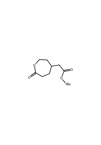 CC(C)(C)OC(=O)CC1CCOC(=O)CC1